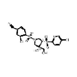 N#Cc1ccc(S(=O)(=O)N2C[C@H](S(=O)(=O)c3ccc(Cl)cn3)[C@@](O)(CO)C2)c(Cl)c1